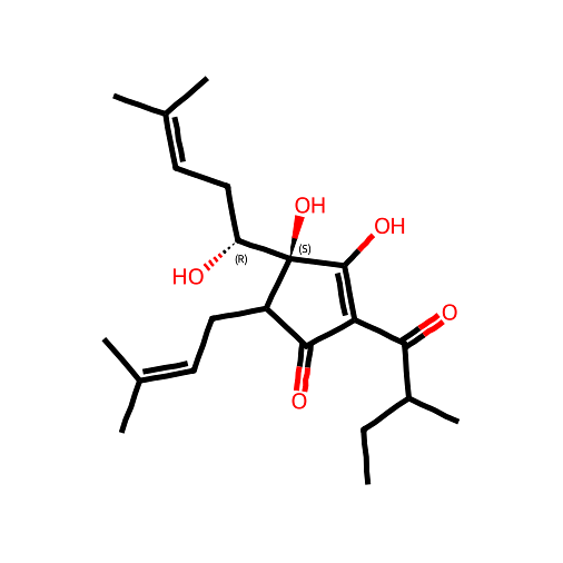 CCC(C)C(=O)C1=C(O)[C@@](O)([C@H](O)CC=C(C)C)C(CC=C(C)C)C1=O